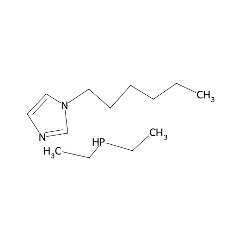 CCCCCCn1ccnc1.CCPCC